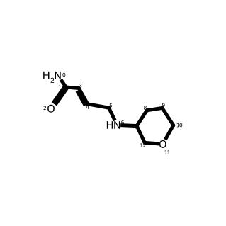 NC(=O)C=CCNC1CCCOC1